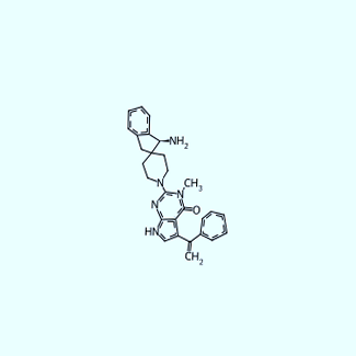 C=C(c1ccccc1)c1c[nH]c2nc(N3CCC4(CC3)Cc3ccccc3[C@H]4N)n(C)c(=O)c12